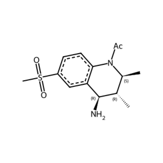 CC(=O)N1c2ccc(S(C)(=O)=O)cc2[C@H](N)[C@@H](C)[C@@H]1C